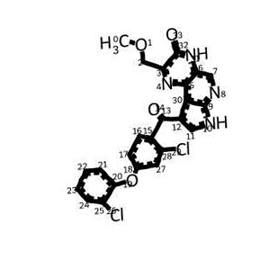 COCc1nc2c(cnc3[nH]cc(C(=O)c4ccc(Oc5ccccc5Cl)cc4Cl)c32)[nH]c1=O